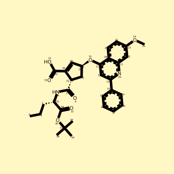 CCC[C@H](NC(=O)[C@H]1C[C@H](Oc2cc(-c3ccccc3)nc3cc(OC)ccc23)C=C1C(=O)O)C(=O)OC(C)(C)C